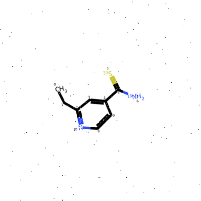 CCc1cc(C([15NH2])=[33S])ccn1